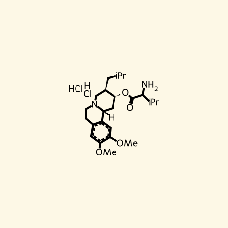 COc1cc2c(cc1OC)[C@H]1C[C@@H](OC(=O)C(N)C(C)C)[C@H](CC(C)C)CN1CC2.Cl.Cl